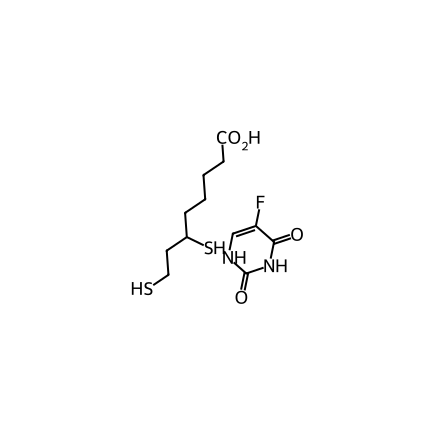 O=C(O)CCCCC(S)CCS.O=c1[nH]cc(F)c(=O)[nH]1